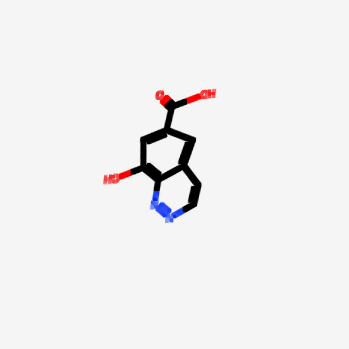 O=C(O)c1cc(O)c2nnccc2c1